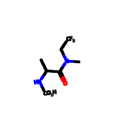 CC(NC(=O)O)C(=O)N(C)CC(F)(F)F